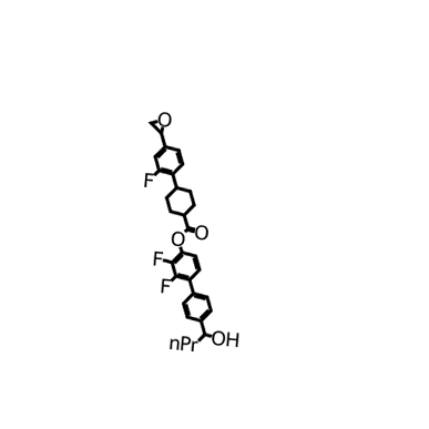 CCCC(O)c1ccc(-c2ccc(OC(=O)C3CCC(c4ccc(C5CO5)cc4F)CC3)c(F)c2F)cc1